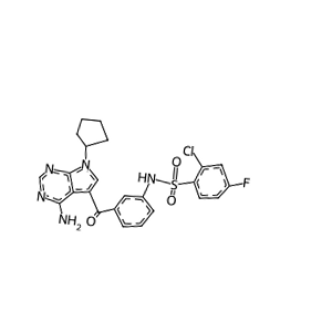 Nc1ncnc2c1c(C(=O)c1cccc(NS(=O)(=O)c3ccc(F)cc3Cl)c1)cn2C1CCCC1